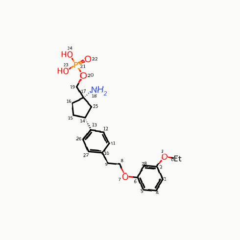 CCOc1cccc(OCCc2ccc([C@@H]3CC[C@@](N)(COP(=O)(O)O)C3)cc2)c1